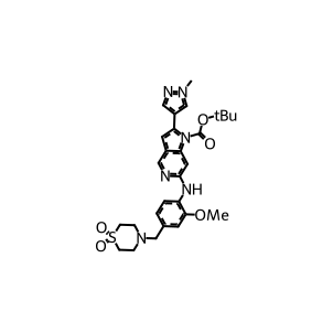 COc1cc(CN2CCS(=O)(=O)CC2)ccc1Nc1cc2c(cn1)cc(-c1cnn(C)c1)n2C(=O)OC(C)(C)C